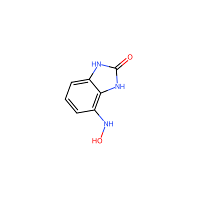 O=c1[nH]c2cccc(NO)c2[nH]1